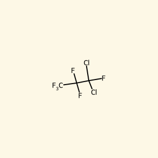 FC(F)(F)C(F)(F)C(F)(Cl)Cl